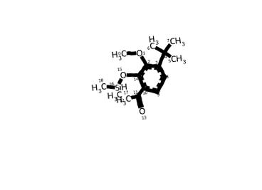 COc1c(C(C)(C)C)ccc(C(C)=O)c1O[SiH](C)C